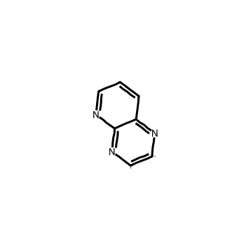 [c]1[c]nc2ncccc2n1